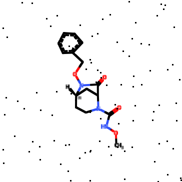 CONC(=O)N1CC[C@H]2CC1C(=O)N2OCc1ccccc1